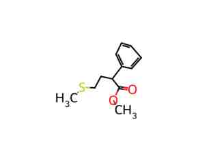 COC(=O)C(CCSC)c1ccccc1